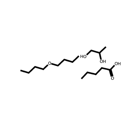 CC(O)CO.CCCCC(=O)O.CCCCOCCCC